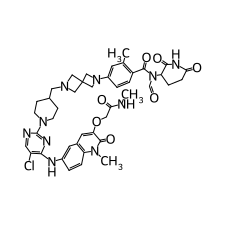 CNC(=O)COc1cc2cc(Nc3nc(N4CCC(CN5CC6(C5)CN(c5ccc(C(=O)N(C=O)C7CCC(=O)NC7=O)c(C)c5)C6)CC4)ncc3Cl)ccc2n(C)c1=O